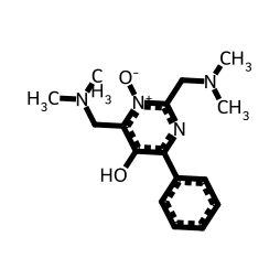 CN(C)Cc1nc(-c2ccccc2)c(O)c(CN(C)C)[n+]1[O-]